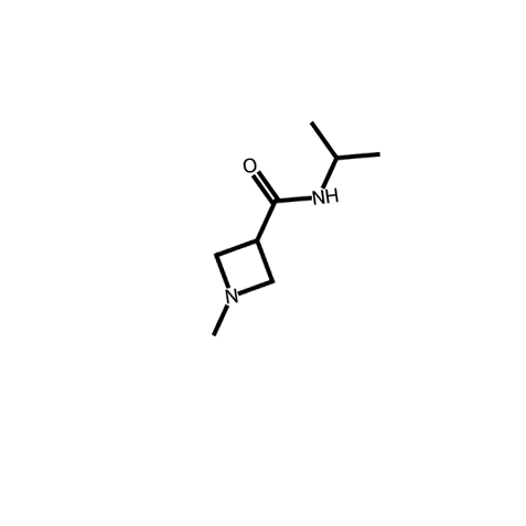 CC(C)NC(=O)C1CN(C)C1